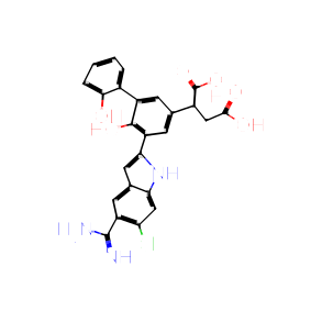 N=C(N)c1cc2cc(-c3cc(C(CC(=O)O)C(=O)O)cc(-c4ccccc4O)c3O)[nH]c2cc1Cl